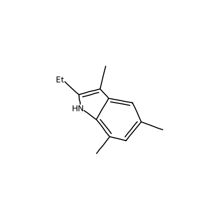 CCc1[nH]c2c(C)cc(C)cc2c1C